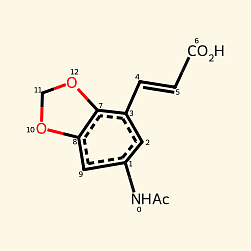 CC(=O)Nc1cc(/C=C/C(=O)O)c2c(c1)OCO2